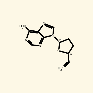 C=C[C@@H]1CC[C@H](n2cnc3c(N)ncnc32)O1